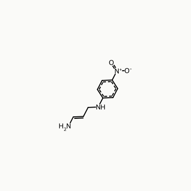 NC=CCNc1ccc([N+](=O)[O-])cc1